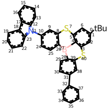 CC(C)(C)c1cc2c3c(c1)Sc1cc(-n4c5ccccc5c5ccccc54)ccc1B3c1ccc(-c3ccccc3)cc1S2